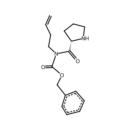 C=CCCN(C(=O)OCc1ccccc1)C(=O)[C@@H]1CCCN1